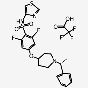 C[C@H](c1ccccc1)N1CCC(Oc2cc(F)c(S(=O)(=O)Nc3cscn3)c(F)c2)CC1.O=C(O)C(F)(F)F